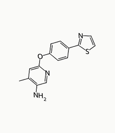 Cc1cc(Oc2ccc(-c3nccs3)cc2)ncc1N